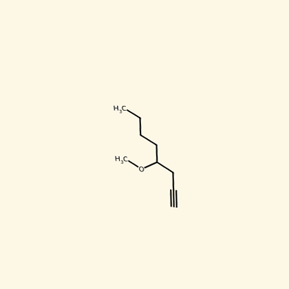 [C]#CCC(CCCC)OC